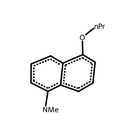 CCCOc1cccc2c(NC)cccc12